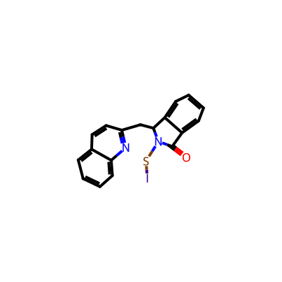 O=C1c2ccccc2C(Cc2ccc3ccccc3n2)N1SI